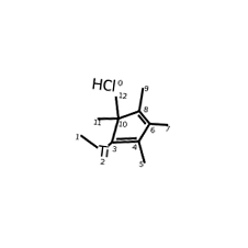 Cl.[CH3][Ti][C]1=C(C)C(C)=C(C)C1(C)C